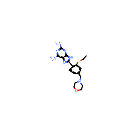 CCOc1cc(CN2CCOCC2)ccc1-c1nc2c(N)nc(N)nc2[nH]1